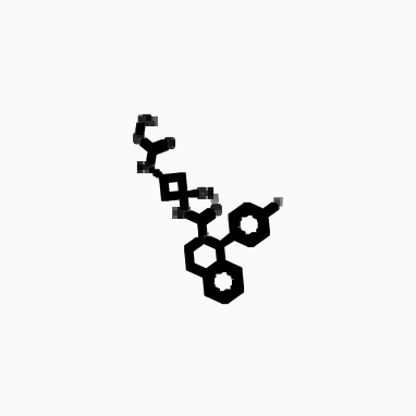 CC(C)(C)OC(=O)N[C@H]1C[C@@](C)(NC(=O)N2CCc3ccccc3[C@@H]2c2ccc(F)cc2)C1